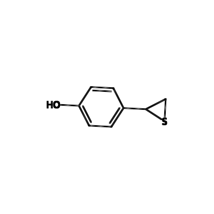 Oc1ccc(C2CS2)cc1